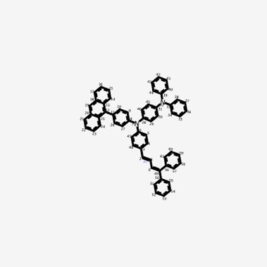 C(/C=C/c1ccc(N(c2ccc(-c3c4ccccc4cc4ccccc34)cc2)c2ccc(N(c3ccccc3)c3ccccc3)cc2)cc1)=C(c1ccccc1)c1ccccc1